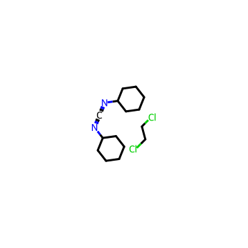 C(=NC1CCCCC1)=NC1CCCCC1.ClCCCl